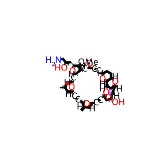 C=C1C[C@@H]2CC[C@]34C[C@H](O)[C@H](O3)[C@@H]3O[C@H]5CC[C@H](CCC(=O)C[C@@H]6[C@@H](OC)[C@@H](C[C@H](O)CN)O[C@H]6C[C@@H]6C[C@H](C)C[C@H](CC[C@@H]1O2)O6)O[C@@H]5[C@H](O4)C3I